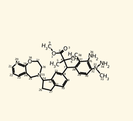 COC(=O)C(C)(C)C(c1ccc2c(c1)C(N1CCOc3ncccc3C1)CC2)c1ccc(N(C)N)c(N)c1C